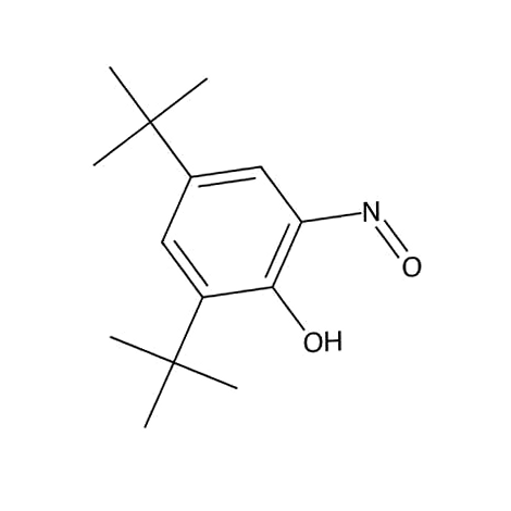 CC(C)(C)c1cc(N=O)c(O)c(C(C)(C)C)c1